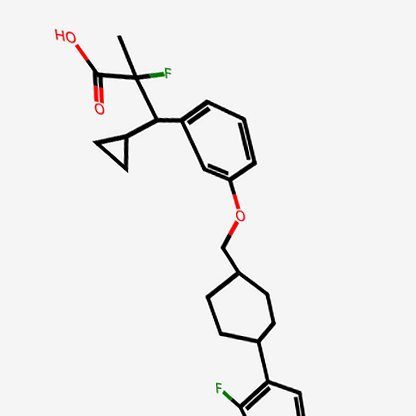 COc1ccc(F)c(C2CCC(COc3cccc(C(C4CC4)C(C)(F)C(=O)O)c3)CC2)c1